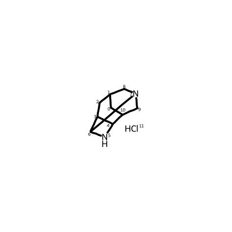 C1C2CC3C4NC3N(C2)CC14.Cl